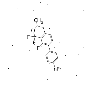 CCCc1ccc(-c2ccc3c(c2F)C(F)(F)OC(C)C3)cc1